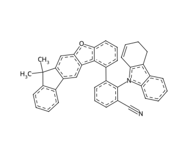 CC1(C)c2ccccc2-c2cc3c(cc21)oc1cccc(-c2cccc(C#N)c2-n2c4c(c5ccccc52)CCC=C4)c13